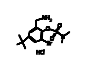 CN(C)S(=O)(=O)Oc1c(Br)cc(C(C)(C)C)cc1CN.Cl